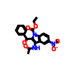 CCOC(=O)n1c(C(=O)c2ccccc2)c(NC(C)=O)c2cc([N+](=O)[O-])ccc21